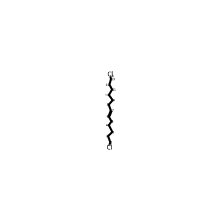 ClCCCCCC=CCCCCCCCl